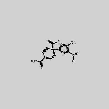 Cc1nc(C2(C(N)=O)C=CC(C(N)=O)=CC2)sc1[N+](=O)[O-]